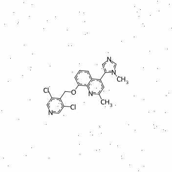 Cc1cc(-c2cncn2C)c2cccc(OCc3c(Cl)cncc3Cl)c2n1